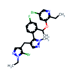 CCc1ncc(Br)cc1OC(C)c1cc(F)ccc1-c1c(Cc2cnn(CC)c2Br)cnn1C